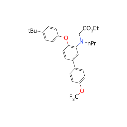 CCCN(CC(=O)OCC)c1cc(-c2ccc(OC(F)(F)F)cc2)ccc1Oc1ccc(C(C)(C)C)cc1